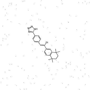 CCC(=Cc1ccc(-c2nnn[nH]2)cc1)c1ccc2c(c1)C(C)(C)CCC2(C)C